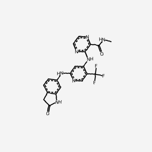 CNC(=O)c1nccnc1Nc1cc(Nc2ccc3c(c2)NC(=O)C3)ncc1C(F)(F)F